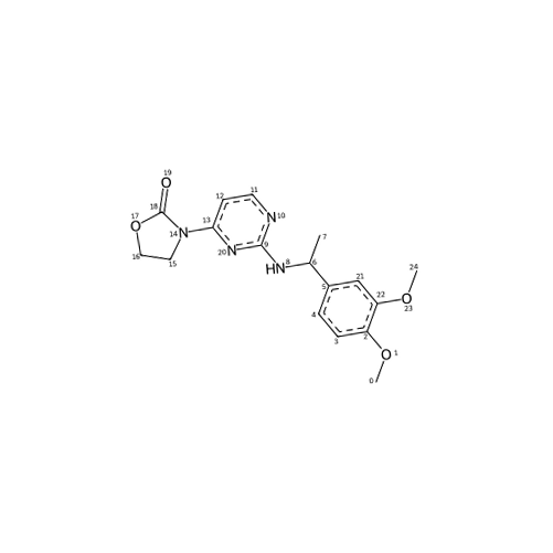 COc1ccc(C(C)Nc2nccc(N3CCOC3=O)n2)cc1OC